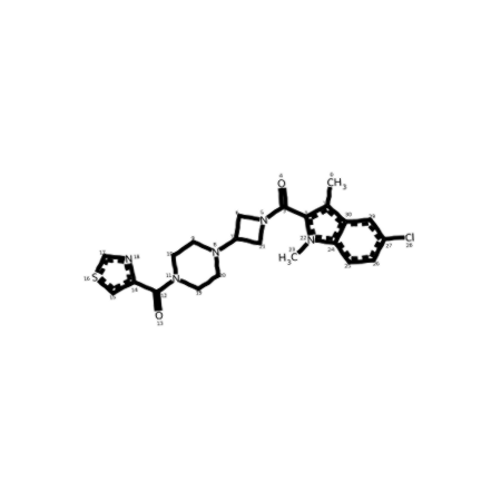 Cc1c(C(=O)N2CC(N3CCN(C(=O)c4cscn4)CC3)C2)n(C)c2ccc(Cl)cc12